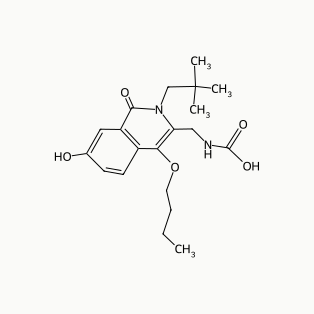 CCCCOc1c(CNC(=O)O)n(CC(C)(C)C)c(=O)c2cc(O)ccc12